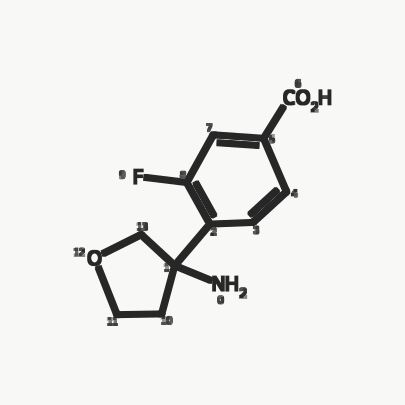 NC1(c2ccc(C(=O)O)cc2F)CCOC1